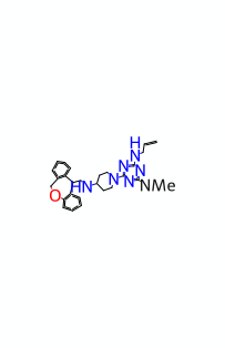 C=CCNc1nc(NC)nc(N2CCC(NCC3c4ccccc4COc4ccccc43)CC2)n1